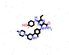 CCc1nc(C(N)=O)c(Nc2ccc(C3CC(N4CCN(C)CC4)CCN3)c(C)c2)nc1N[C@H]1CC[C@](C)(O)CC1